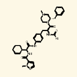 CCC(=O)NC(Cc1ccc(NC(=O)C(NC(=O)c2ccnn2C)C2CCCCC2)cc1)C(=O)N1CCN(C)C[C@@H]1Cc1ccccc1